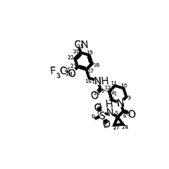 CS(=O)(=O)NC1(C(=O)N2CCC[C@@H](C(=O)NCc3ccc(C#N)cc3OC(F)(F)F)C2)CC1